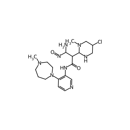 CN1CCCN(c2ccncc2NC(=O)C(C(N)N=O)C2NCC(Cl)CN2C)CC1